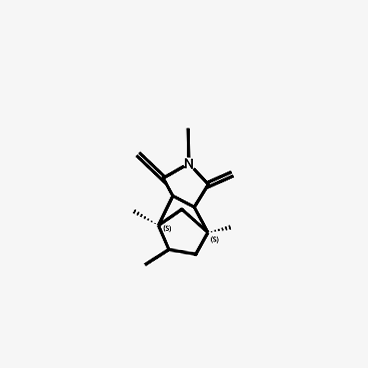 C=C1C2C(C(=C)N1C)[C@@]1(C)C[C@]2(C)CC1C